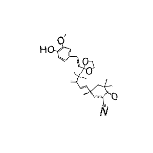 C=C(/C=C/[C@@]1(C)C=C(C#N)C(=O)C(C)(C)C1)C(C)(C)C1(/C=C/c2ccc(O)c(OC)c2)OCCO1